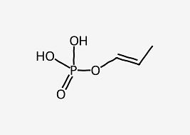 CC=COP(=O)(O)O